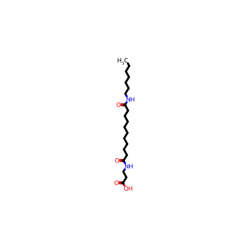 CCCCCCCNC(=O)CCCCCCCCCC(=O)NCCC(=O)O